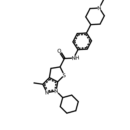 Cc1nn(C2CCCCC2)c2c1CC(C(=O)Nc1ccc(C3CCN(C)CC3)cc1)S2